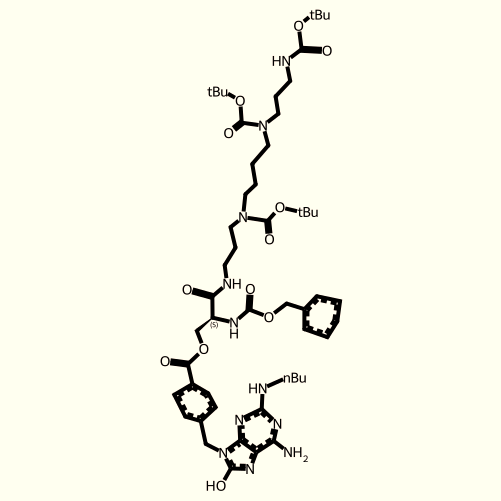 CCCCNc1nc(N)c2nc(O)n(Cc3ccc(C(=O)OC[C@H](NC(=O)OCc4ccccc4)C(=O)NCCCN(CCCCN(CCCNC(=O)OC(C)(C)C)C(=O)OC(C)(C)C)C(=O)OC(C)(C)C)cc3)c2n1